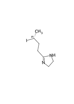 C[C@@H](I)CCC1=NCCN1